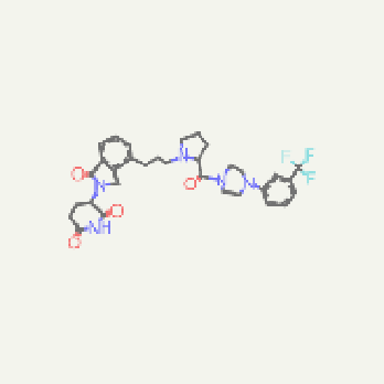 O=C1CCC(N2Cc3c(CCCN4CCCC4C(=O)N4CCN(c5cccc(C(F)(F)F)c5)CC4)cccc3C2=O)C(=O)N1